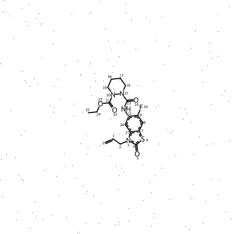 C=CCn1c(=O)sc2cc(F)c(NC(=O)N3CCCCN3C(=O)OCC)cc21